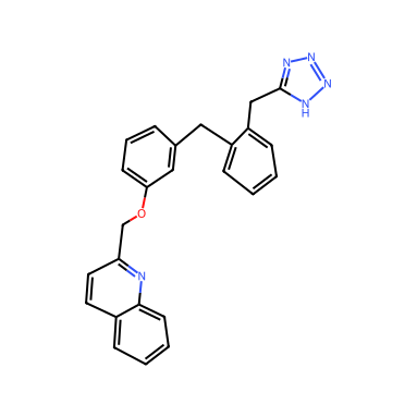 c1cc(Cc2ccccc2Cc2nnn[nH]2)cc(OCc2ccc3ccccc3n2)c1